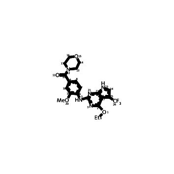 CCOc1nc(Nc2ccc(C(=O)N3CCOCC3)cc2OC)nc2[nH]cc(C(F)(F)F)c12